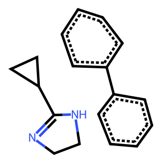 C1CNC(C2CC2)=N1.c1ccc(-c2ccccc2)cc1